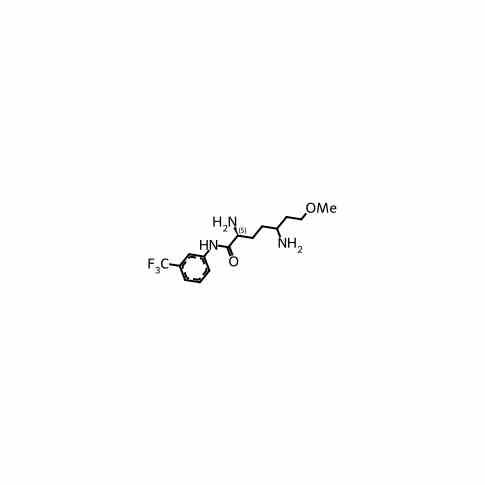 COCCC(N)CC[C@H](N)C(=O)Nc1cccc(C(F)(F)F)c1